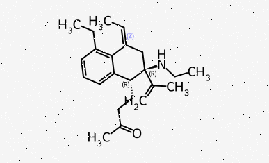 C=C(C)[C@@]1(NCC)C/C(=C/C)c2c(CC)cccc2[C@H]1CCC(C)=O